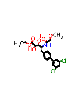 CCOC(=O)[C@H](O)[C@@H](O)[C@@H](Cc1ccc(-c2cc(Cl)cc(Cl)c2)cc1)NC(=O)COC